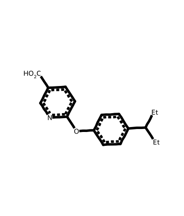 CCC(CC)c1ccc(Oc2ccc(C(=O)O)cn2)cc1